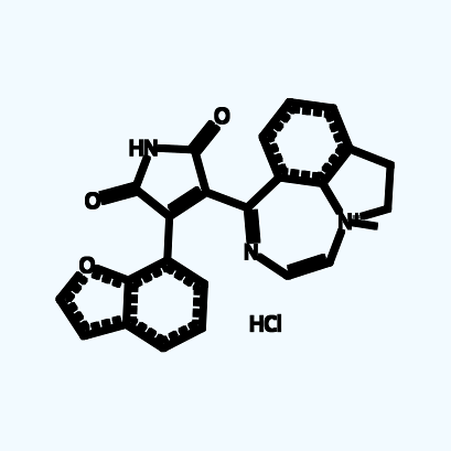 C[N+]12C=CN=C(C3=C(c4cccc5ccoc45)C(=O)NC3=O)c3cccc(c31)CC2.Cl